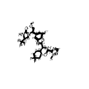 COCC(c1cc(F)c2oc(C(NC(=O)c3ncnn3C)C3CCC(F)(F)CC3)nc2c1)N1CC(C(F)(F)F)NC1=O